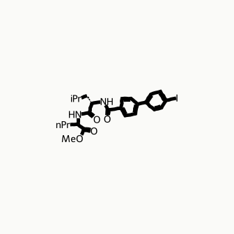 CCCC(NC(=O)[C@H](CC(C)C)NC(=O)c1ccc(-c2ccc(I)cc2)cc1)C(=O)OC